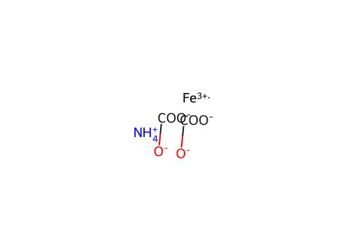 O=C([O-])[O-].O=C([O-])[O-].[Fe+3].[NH4+]